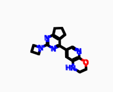 c1nc2c(cc1-c1nc(N3CCC3)nc3c1CCC3)NCCO2